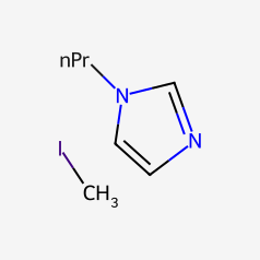 CCCn1ccnc1.CI